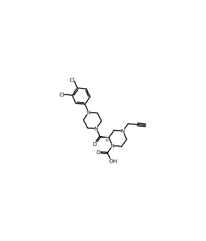 C#CCN1CCN(C(=O)O)[C@@H](C(=O)N2CCN(c3ccc(Cl)c(Cl)c3)CC2)C1